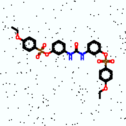 CCOc1ccc(S(=O)(=O)Oc2cccc(NC(=O)Nc3cccc(OS(=O)(=O)c4ccc(OCC)cc4)c3)c2)cc1